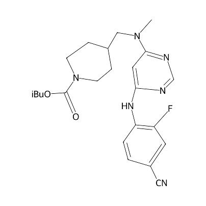 CC(C)COC(=O)N1CCC(CN(C)c2cc(Nc3ccc(C#N)cc3F)ncn2)CC1